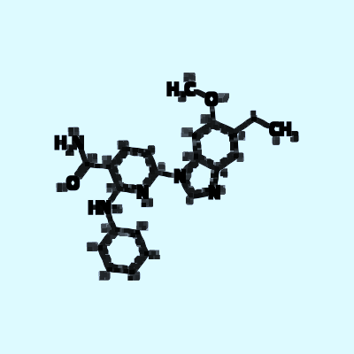 CCc1cc2ncn(-c3ccc(C(N)=O)c(Nc4ccccc4)n3)c2cc1OC